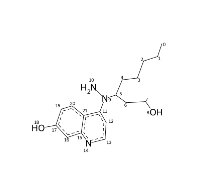 CCCCCC(CCO)N(N)c1ccnc2cc(O)ccc12